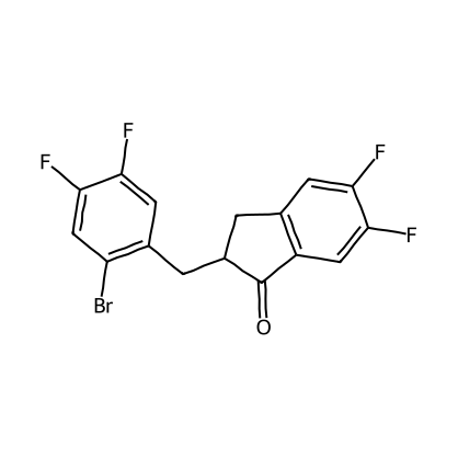 O=C1c2cc(F)c(F)cc2CC1Cc1cc(F)c(F)cc1Br